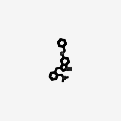 CN(C)Cc1ccccc1Cc1c[nH]c2ccc(OCc3ccccc3)cc12